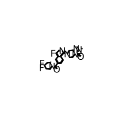 Cn1nc2n(c1=O)CCN(c1ncc(F)c3cc(C(=O)N4CCC(F)(F)CC4)ccc13)C2